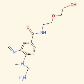 C=Nc1cc(C(=O)NCCOCCO)ccc1N(C)CN